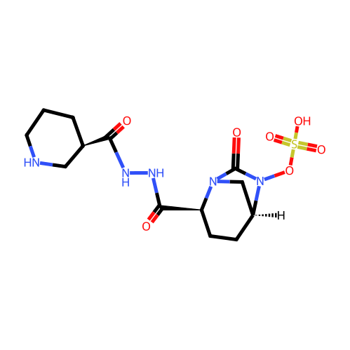 O=C(NNC(=O)[C@@H]1CC[C@H]2CN1C(=O)N2OS(=O)(=O)O)[C@@H]1CCCNC1